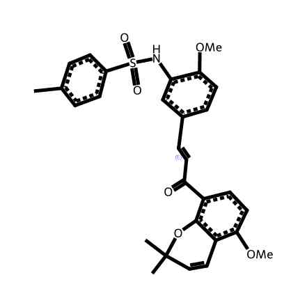 COc1ccc(/C=C/C(=O)c2ccc(OC)c3c2OC(C)(C)C=C3)cc1NS(=O)(=O)c1ccc(C)cc1